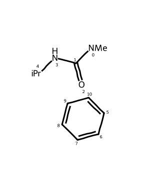 CNC(=O)NC(C)C.c1ccccc1